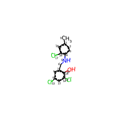 Cc1ccc(NCc2cc(Cl)cc(Cl)c2O)c(Cl)c1